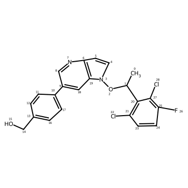 CC(On1ccc2ncc(-c3ccc(CO)cc3)cc21)c1c(Cl)ccc(F)c1Cl